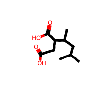 CC(C)CC(C)C(CC(=O)O)C(=O)O